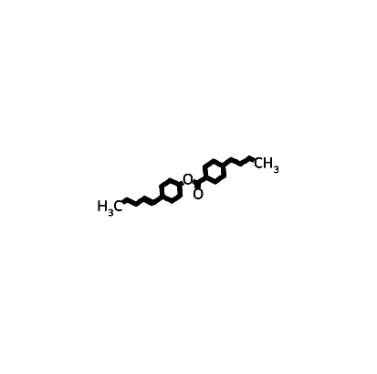 CCCC=CC1CCC(OC(=O)C2CCC(CCCC)CC2)CC1